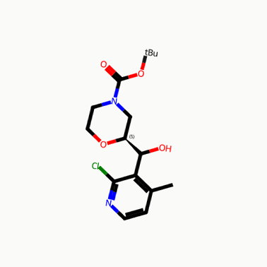 Cc1ccnc(Cl)c1C(O)[C@@H]1CN(C(=O)OC(C)(C)C)CCO1